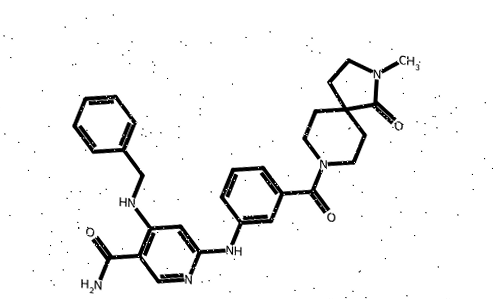 CN1CCC2(CCN(C(=O)c3cccc(Nc4cc(NCc5ccccc5)c(C(N)=O)cn4)c3)CC2)C1=O